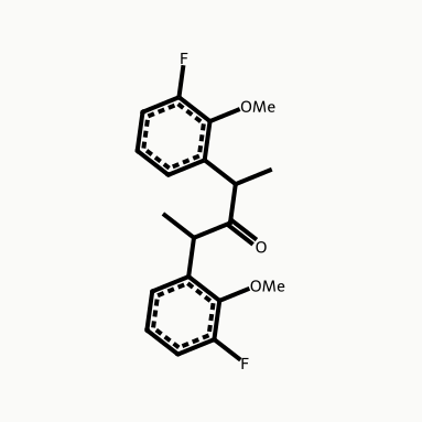 COc1c(F)cccc1C(C)C(=O)C(C)c1cccc(F)c1OC